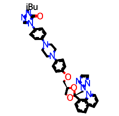 CCC(C)n1ncn(-c2ccc(N3CCN(c4ccc(OC[C@@H]5CO[C@@](Cn6nccn6)(c6cccc7cccnc67)O5)cc4)CC3)cc2)c1=O